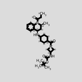 CCC(=O)N1c2ccccc2[C@H](NC2CCC(C(=O)N3CC(NC(=O)OC(C)(C)C)C3)CC2)C[C@@H]1C